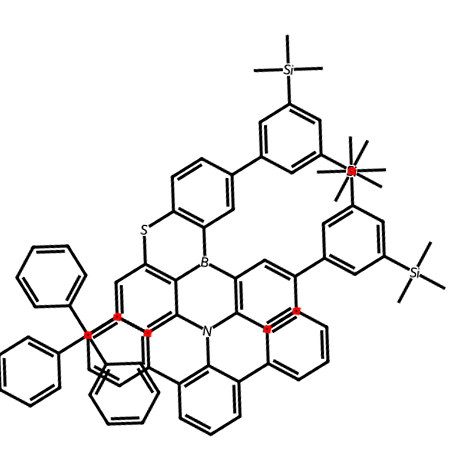 C[Si](C)(C)c1cc(-c2ccc3c(c2)B2c4cc(-c5cc([Si](C)(C)C)cc([Si](C)(C)C)c5)ccc4N(c4c(-c5ccccc5)cccc4-c4ccccc4)c4cc(C(c5ccccc5)(c5ccccc5)c5ccccc5)cc(c42)S3)cc([Si](C)(C)C)c1